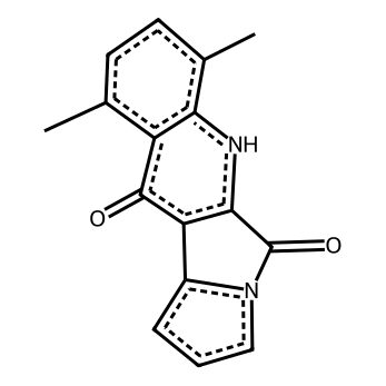 Cc1ccc(C)c2c(=O)c3c([nH]c12)C(=O)n1cccc1-3